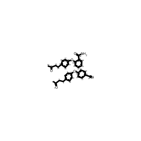 CC(=O)CCc1ccc(Oc2ccc(C#N)cc2)cc1.CC(=O)CCc1ccc(Oc2ccccc2C(N)=O)cc1